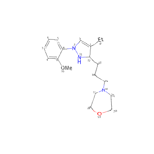 CCC1=CN(c2ccccc2OC)NC1CCCN1CCOCC1